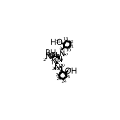 BN(C)c1nc(N(C)Cc2ccccc2O)nc(N(C)Cc2ccccc2O)n1